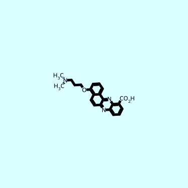 CN(C)CCCOc1cccc2c1ccc1nc3cccc(C(=O)O)c3nc12